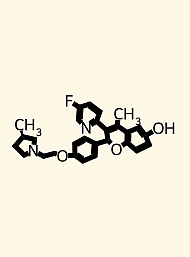 CC1=C(c2ccc(F)cn2)C(c2ccc(OCCN3CC[C@@H](C)C3)cc2)Oc2ccc(O)cc21